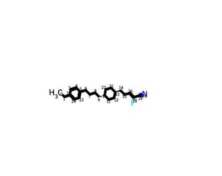 CCc1ccc(CCCC[C@H]2CC[C@H](CC/C=C(\F)C#N)CC2)cc1